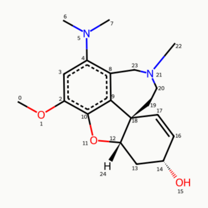 COc1cc(N(C)C)c2c3c1O[C@H]1C[C@@H](O)C=C[C@@]31CCN(C)C2